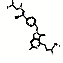 C#C/C(=C\N(C)CC(F)F)c1ccc(CN2Cc3cc(C)nc(CCC(F)P)c3C2=C)cc1